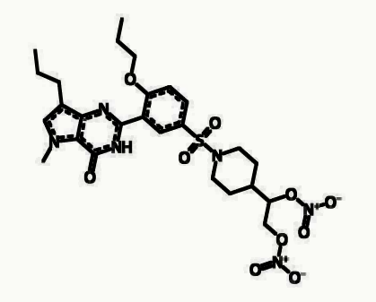 CCCOc1ccc(S(=O)(=O)N2CCC(C(CO[N+](=O)[O-])O[N+](=O)[O-])CC2)cc1-c1nc2c(CCC)cn(C)c2c(=O)[nH]1